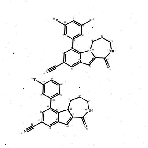 N#Cc1cc(-c2cc(F)cc(F)c2)c2c(c1)cc1n2CCCNC1=O.N#Cc1cc(-c2cccc(F)c2)c2c(c1)cc1n2CCCNC1=O